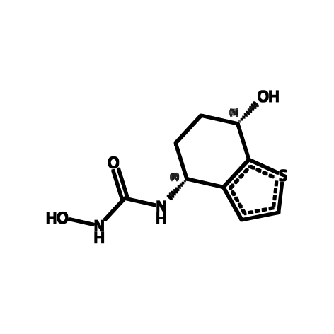 O=C(NO)N[C@@H]1CC[C@H](O)c2sccc21